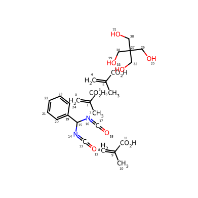 C=C(C)C(=O)O.C=C(C)C(=O)O.C=C(C)C(=O)O.O=C=NC(N=C=O)c1ccccc1.OCC(CO)(CO)CO